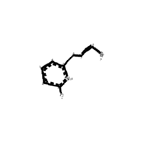 Clc1cccc(CC=CBr)n1